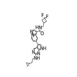 O=C(NCC1CC(F)(F)C1)c1cnn2ccc(-c3c[nH]c4nc(NCCC5CC5)ncc34)cc12